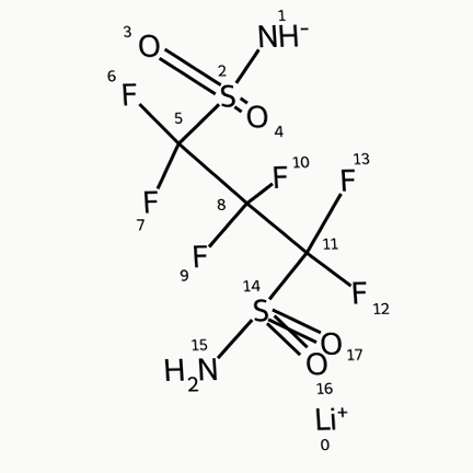 [Li+].[NH-]S(=O)(=O)C(F)(F)C(F)(F)C(F)(F)S(N)(=O)=O